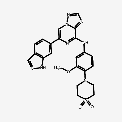 COc1cc(Nc2nc(-c3ccc4cn[nH]c4c3)cn3ncnc23)ccc1N1CCS(=O)(=O)CC1